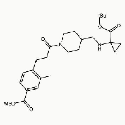 COC(=O)c1ccc(CCC(=O)N2CCC(CNC3(C(=O)OC(C)(C)C)CC3)CC2)c(C)c1